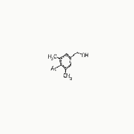 CC(=O)c1c(C)cc(CO)cc1C